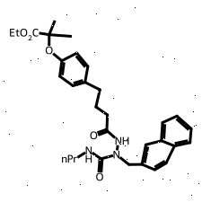 CCCNC(=O)N(Cc1ccc2ccccc2c1)NC(=O)CCCc1ccc(OC(C)(C)C(=O)OCC)cc1